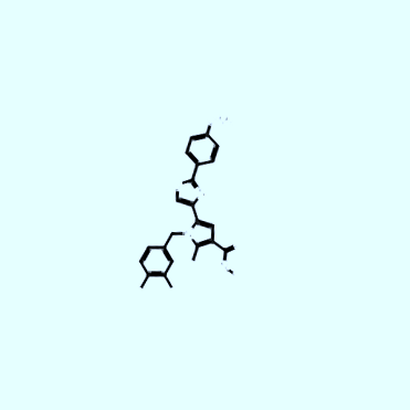 CCCCNC(=O)c1cc(-c2csc(-c3ccc(OC)cc3)n2)n(Cc2ccc(C)c(C)c2)c1C